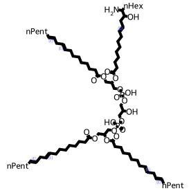 CCCCC/C=C/C/C=C/CCCCCCCC(=O)OCC(COP(=O)(O)OCC(O)COP(=O)(O)OCC(COC(=O)CCCCCCC/C=C/C/C=C/CCCCC)OC(=O)CCCCCCC/C=C/CC(O)C(N)CCCCCC)OC(=O)CCCCCCC/C=C/C/C=C/CCCCC